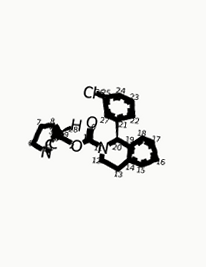 O=C(O[C@@H]1CN2CCC1CC2)N1CCc2ccccc2[C@@H]1c1cccc(Cl)c1